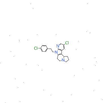 Clc1ccc(CCn2c3c(c4cc(Cl)cnc42)C2CCCN2CC3)cc1